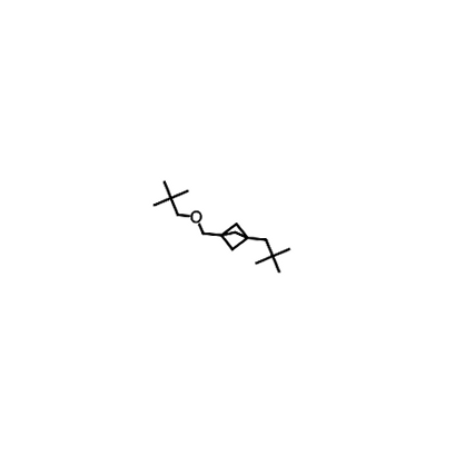 CC(C)(C)COCC12CC(CC(C)(C)C)(C1)C2